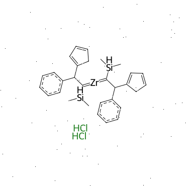 C[SiH](C)[C](=[Zr]=[C](C(C1=CC=CC1)c1ccccc1)[SiH](C)C)C(C1=CC=CC1)c1ccccc1.Cl.Cl